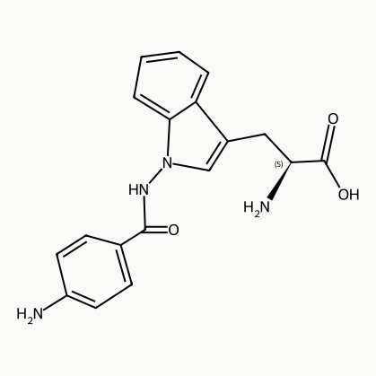 Nc1ccc(C(=O)Nn2cc(C[C@H](N)C(=O)O)c3ccccc32)cc1